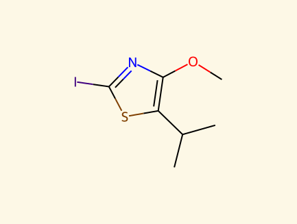 COc1nc(I)sc1C(C)C